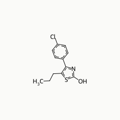 CCCc1sc(O)nc1-c1ccc(Cl)cc1